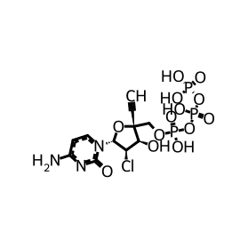 C#C[C@]1(COP(=O)(O)OP(=O)(O)OP(=O)(O)O)O[C@@H](n2ccc(N)nc2=O)[C@H](Cl)[C@@H]1O